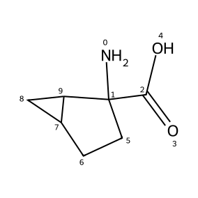 NC1(C(=O)O)CCC2CC21